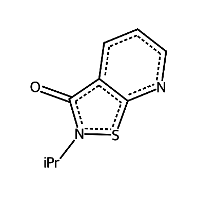 CC(C)n1sc2ncccc2c1=O